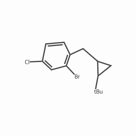 CC(C)(C)C1C[C]1Cc1ccc(Cl)cc1Br